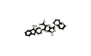 N[C@@H]1c2ccccc2CC12CCN(c1nc3[nH]nc(N4CCCc5ncccc54)c3nc1C(F)F)CC2